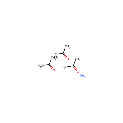 CC(C)=O.CC(C)=O.CC(C)=O.N